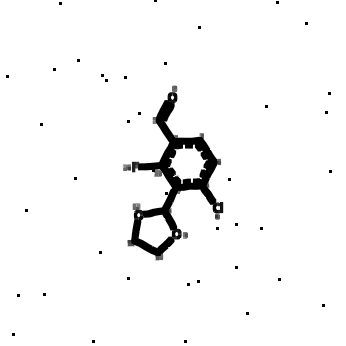 O=Cc1ccc(Cl)c(C2OCCO2)c1F